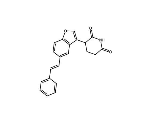 O=C1CCC(c2coc3ccc(/C=C/c4ccccc4)cc23)C(=O)N1